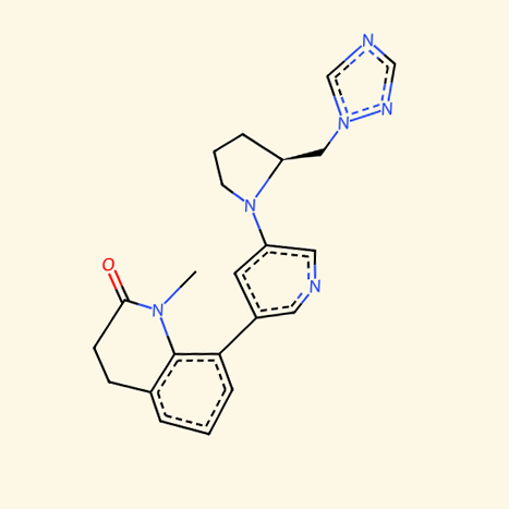 CN1C(=O)CCc2cccc(-c3cncc(N4CCC[C@H]4Cn4cncn4)c3)c21